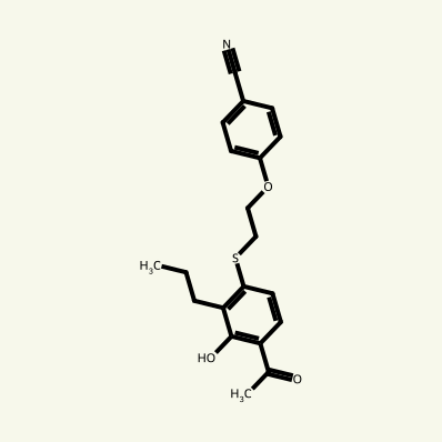 CCCc1c(SCCOc2ccc(C#N)cc2)ccc(C(C)=O)c1O